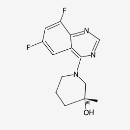 C[C@@]1(O)CCCN(c2ncnc3c(F)cc(F)cc23)C1